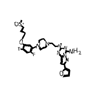 CN(CCN1CCN(c2cc(OCCC[S+](C)[O-])c(F)cc2F)CC1)c1nc(N)n2nc(-c3ccco3)cc2n1